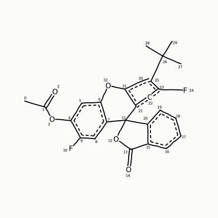 CC(=O)Oc1cc2c(cc1F)C1(OC(=O)c3ccccc31)c1cc(F)c(C(C)(C)C)cc1O2